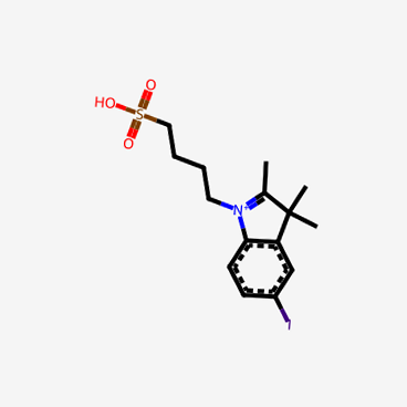 CC1=[N+](CCCCS(=O)(=O)O)c2ccc(I)cc2C1(C)C